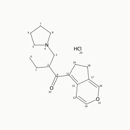 CCC(CN1CCCC1)C(=O)C1=C2C=COC=C2CC1.Cl